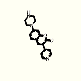 O=c1oc2cc(N3CCNCC3)ccc2cc1-c1ccncc1